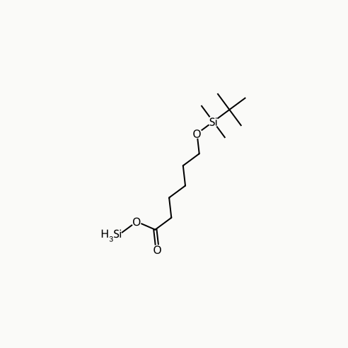 CC(C)(C)[Si](C)(C)OCCCCCC(=O)O[SiH3]